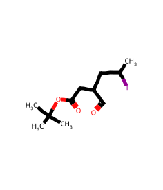 CC(I)CC(C=O)CC(=O)OC(C)(C)C